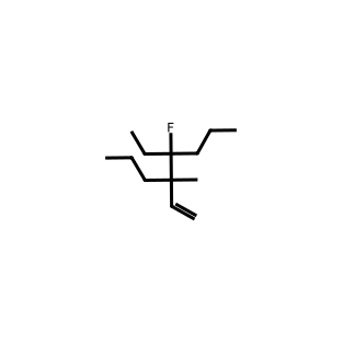 C=CC(C)(CCC)C(F)(CC)CCC